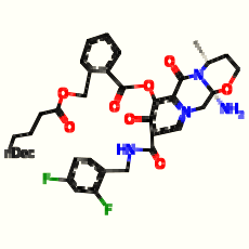 CCCCCCCCCCCCCC(=O)OCc1ccccc1C(=O)Oc1c2n(cc(C(=O)NCc3ccc(F)cc3F)c1=O)C[C@]1(N)OCC[C@@H](C)N1C2=O